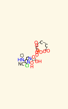 N#Cc1c(Cl)nc2c(ccn2[C@@H]2O[C@H](COCP3(=O)OCOC(=O)CCCCCCC(=O)OCO3)[C@@H](O)[C@H]2O)c1NC1CCCC1